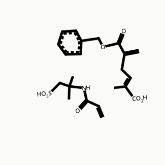 C=C(CC=C(C)C(=O)O)C(=O)OCc1ccccc1.C=CC(=O)NC(C)(C)CS(=O)(=O)O